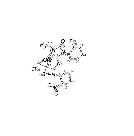 CN1C(=O)C(=NC(Nc2ccccc2[N+](=O)[O-])C(Br)(Br)CCl)N(c2ccccc2F)C1=O